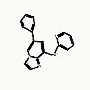 c1ccc(-c2cc(Nc3ccccn3)c3nccn3c2)cc1